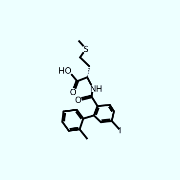 CSCC[C@H](NC(=O)c1ccc(I)cc1-c1ccccc1C)C(=O)O